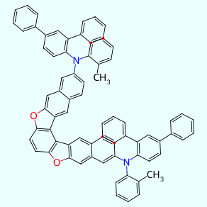 Cc1ccccc1N(c1ccc2cc3c(cc2c1)oc1ccc2oc4cc5cc(N(c6ccccc6C)c6ccc(-c7ccccc7)cc6-c6ccccc6)ccc5cc4c2c13)c1ccc(-c2ccccc2)cc1-c1ccccc1